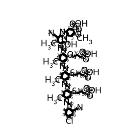 COc1cc2c(cc1S(=O)(=O)O)nc1c(C#N)c(C)c(N=Nc3cc(C)c(N=Nc4cc(C)c(N=Nc5cc(C)c(N=Nc6ccc(Cl)cc6C#N)cc5SCCCS(=O)(=O)O)cc4SCCCS(=O)(=O)O)cc3OCCCS(=O)(=O)O)c(O)n12